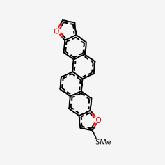 CSc1cc2cc3ccc4c5cc6occc6cc5ccc4c3cc2o1